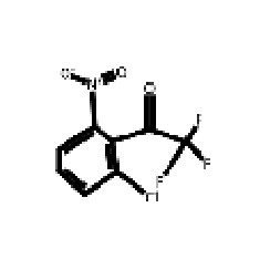 O=C(c1c(Cl)cccc1[N+](=O)[O-])C(F)(F)F